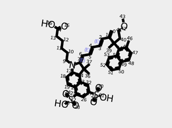 C=C(/C=C/C=C/C=C1/N(CCCCCC(=O)O)c2ccc3c(S(=O)(=O)O)cc(S(=O)(=O)O)cc3c2C1(C)C)C(C)(CCOC)c1c(C)ccc2ccccc12